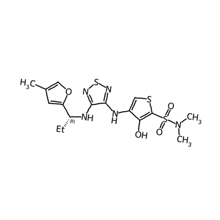 CC[C@@H](Nc1nsnc1Nc1csc(S(=O)(=O)N(C)C)c1O)c1cc(C)co1